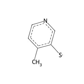 Cc1ccncc1[S]